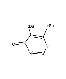 CC(C)(C)c1[nH]cnc(=O)c1C(C)(C)C